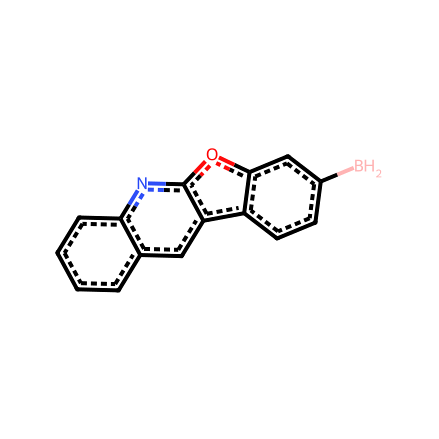 Bc1ccc2c(c1)oc1nc3ccccc3cc12